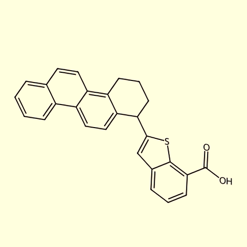 O=C(O)c1cccc2cc(C3CCCc4c3ccc3c4ccc4ccccc43)sc12